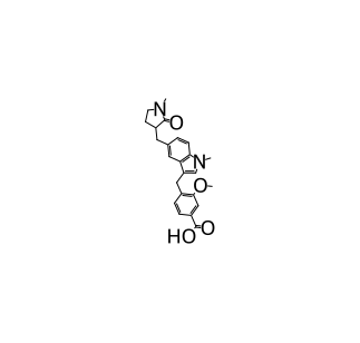 COc1cc(C(=O)O)ccc1Cc1cn(C)c2ccc(CC3CCN(C)C3=O)cc12